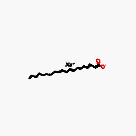 CCCCCCCCC=CCC=CCCCCCCC(=O)[O-].[Na+]